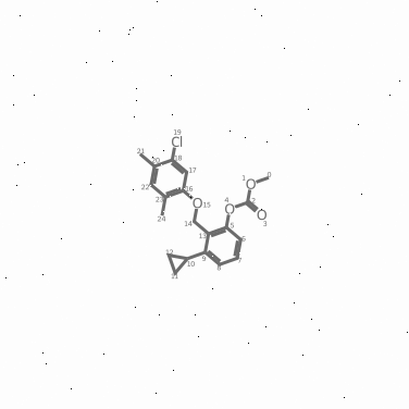 COC(=O)Oc1cccc(C2CC2)c1COc1cc(Cl)c(C)cc1C